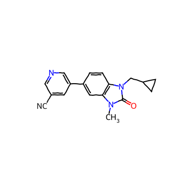 Cn1c(=O)n(CC2CC2)c2ccc(-c3cncc(C#N)c3)cc21